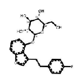 OC[C@H]1O[C@@H](Oc2cccc3occ(CCc4ccc(F)cc4)c23)[C@H](O)[C@@H](O)[C@@H]1O